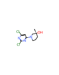 C[C@@]1(O)CCCN(c2cc(Cl)nc(Cl)n2)C1